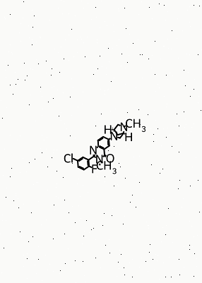 CN1C[C@@H]2C[C@H]1CN2c1ccc2nc(-c3cc(Cl)ccc3F)n(C)c(=O)c2c1